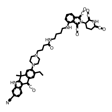 CCc1cc2c(cc1N1CCN(CCCC(=O)NCCCCNc3cccc4c(=C=O)n(C5CCC(=C=O)NC5=C=O)c(=C=O)c34)CC1)C(C)(C)c1[nH]c3cc(C#N)ccc3c1C2=C=O